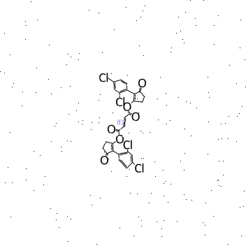 O=C(/C=C/C(=O)OC1=C(c2ccc(Cl)cc2Cl)C(=O)CC1)OC1=C(c2ccc(Cl)cc2Cl)C(=O)CC1